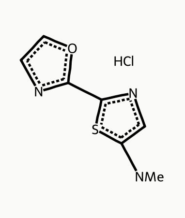 CNc1cnc(-c2ncco2)s1.Cl